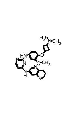 COc1cc(Nc2nccc(Nc3cnc4c(c3)SCCC4)n2)ccc1OC1CC(N(C)C)C1